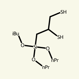 CCCO[Si](CC(S)CS)(OCCC)OC(C)CC